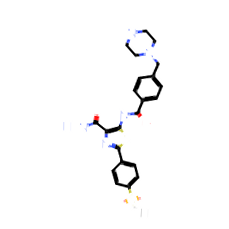 CN1CCN(Cc2ccc(C(=O)Nc3sc(-c4ccc(S(C)(=O)=O)cc4)nc3C(N)=O)cc2)CC1